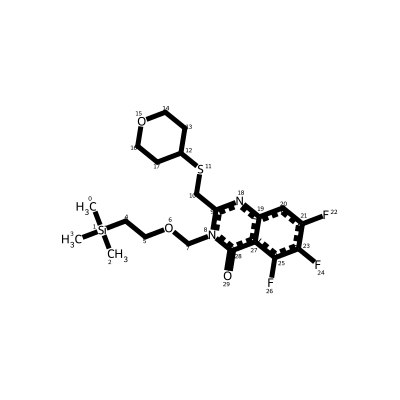 C[Si](C)(C)CCOCn1c(CSC2CCOCC2)nc2cc(F)c(F)c(F)c2c1=O